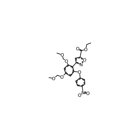 CCOC(=O)c1cc(-c2c(OCOC)cc(OCOC)cc2Oc2ccc([N+](=O)[O-])cc2)no1